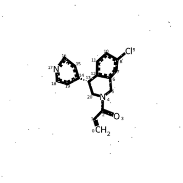 C=CC(=O)N1Cc2cc(Cl)ccc2[C@@H](c2ccncc2)C1